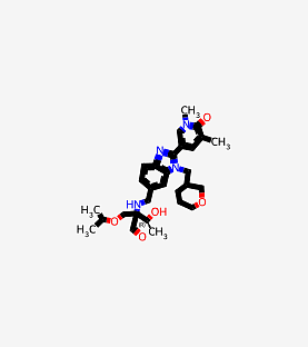 Cc1cc(-c2nc3ccc(CNC(C=O)(COC(C)C)[C@@H](C)O)cc3n2CC2CCCOC2)cn(C)c1=O